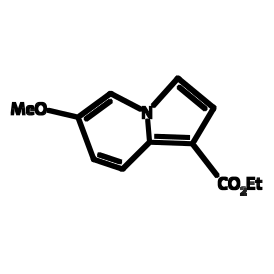 CCOC(=O)c1ccn2cc(OC)ccc12